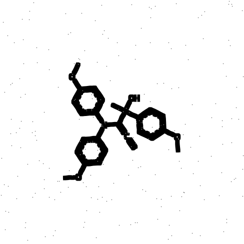 C=C=C(N(c1ccc(OC)cc1)c1ccc(OC)cc1)C(C)(O)c1ccc(OC)cc1